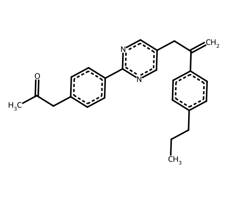 C=C(Cc1cnc(-c2ccc(CC(C)=O)cc2)nc1)c1ccc(CCC)cc1